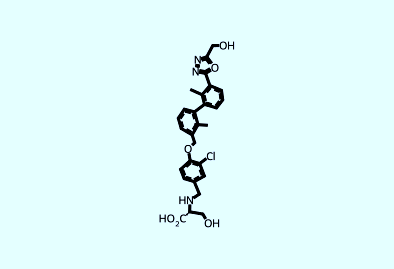 Cc1c(COc2ccc(CN[C@H](CO)C(=O)O)cc2Cl)cccc1-c1cccc(-c2nnc(CO)o2)c1C